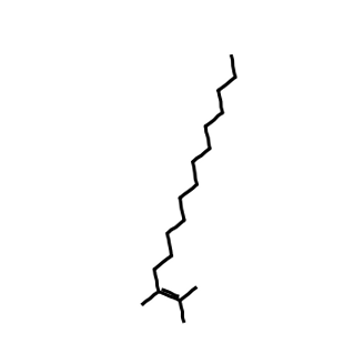 CCCCCCCCCCCCCC(C)=C(C)C